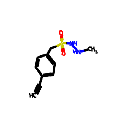 C#Cc1ccc(CS(=O)(=O)NNC)cc1